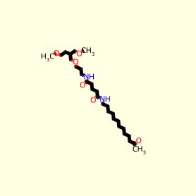 COCCC(COC)COCCCNC(=O)CCCC(=O)NCCCCCCCCCCCC(C)=O